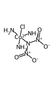 [NH2][Co-2]([NH2])([NH2])([Cl])[N]([N+](=O)[O-])[N+](=O)[O-]